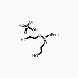 CCCCCN(OCCO)OCCO.O=P(O)(O)O